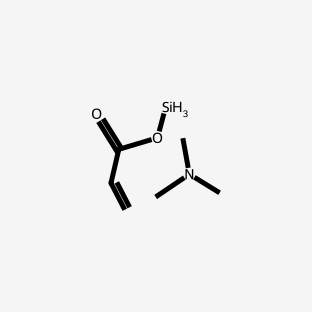 C=CC(=O)O[SiH3].CN(C)C